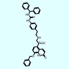 O=C(Nc1ccc(CCNC[C@@H](O)c2ccc(OCc3ccccc3)c3[nH]c(=O)ccc23)cc1)NC(c1ccccc1)c1ccccc1